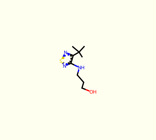 CC(C)(C)c1nsnc1NCCCO